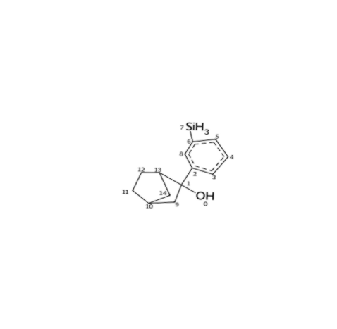 OC1(c2cccc([SiH3])c2)CC2CCC1C2